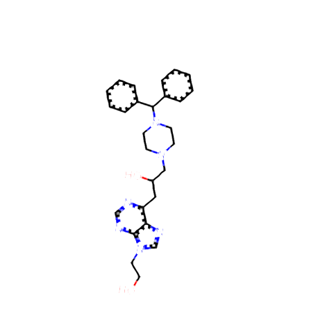 OCCn1cnc2c(CC(O)CN3CCN(C(c4ccccc4)c4ccccc4)CC3)ncnc21